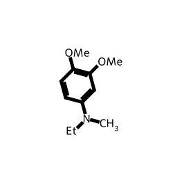 CCN(C)c1ccc(OC)c(OC)c1